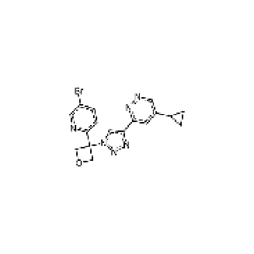 Brc1ccc(C2(n3cc(-c4cc(C5CC5)cnn4)nn3)COC2)nc1